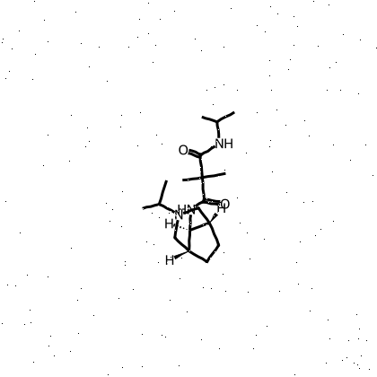 CC(C)NC(=O)C(C)(C)C(=O)N[C@@H]1[C@@H]2CC[C@H]1CN(C(C)C)C2